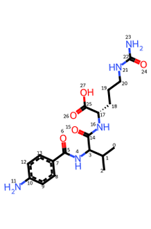 CC(C)C(NC(=O)c1ccc(N)cc1)C(=O)N[C@@H](CCCNC(N)=O)C(=O)O